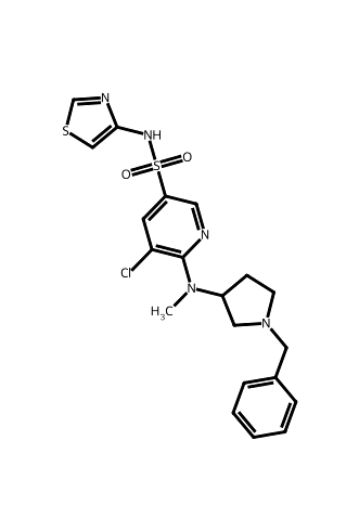 CN(c1ncc(S(=O)(=O)Nc2cscn2)cc1Cl)C1CCN(Cc2ccccc2)C1